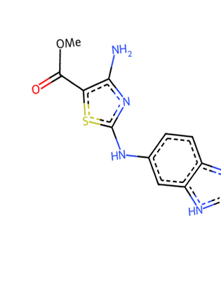 COC(=O)c1sc(Nc2ccc3nc[nH]c3c2)nc1N